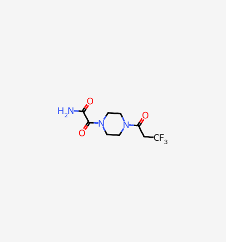 NC(=O)C(=O)N1CCN(C(=O)CC(F)(F)F)CC1